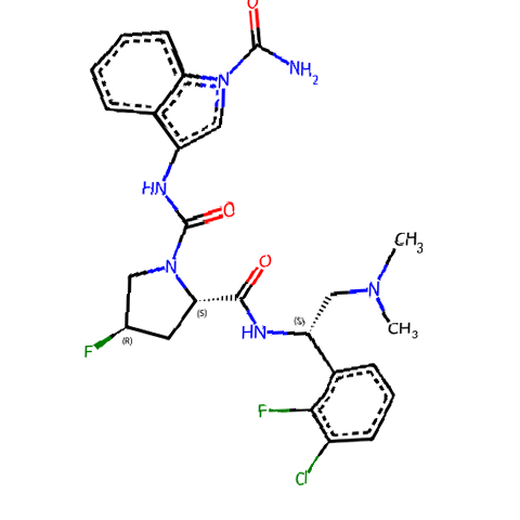 CN(C)C[C@@H](NC(=O)[C@@H]1C[C@@H](F)CN1C(=O)Nc1cn(C(N)=O)c2ccccc12)c1cccc(Cl)c1F